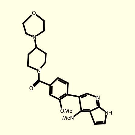 CNc1c(-c2ccc(C(=O)N3CCC(N4CCOCC4)CC3)cc2OC)cnc2[nH]ccc12